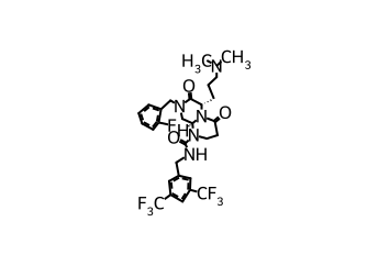 CN(C)CCC[C@H]1C(=O)N(Cc2ccccc2F)C[C@@H]2N(C(=O)NCc3cc(C(F)(F)F)cc(C(F)(F)F)c3)CCC(=O)N21